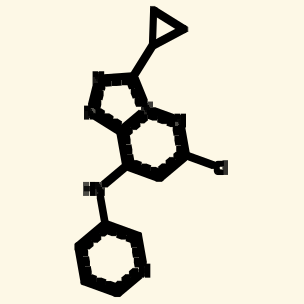 Clc1cc(Nc2cccnc2)c2nnc(C3CC3)n2n1